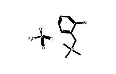 C[N+](C)(C)Cc1ccccc1Br.O=S(=O)([O-])C(F)(F)F